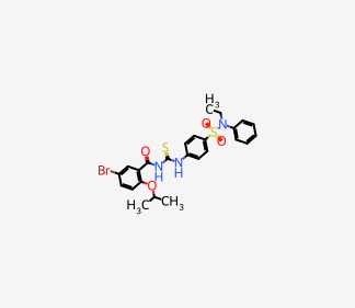 CCN(c1ccccc1)S(=O)(=O)c1ccc(NC(=S)NC(=O)c2cc(Br)ccc2OC(C)C)cc1